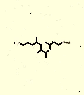 CCCC(C)CCC(C)CC(C)C(C)CC(C)CCCP